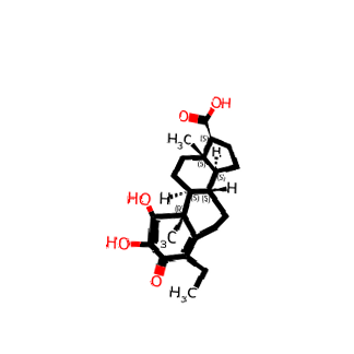 CCC1=C2CC[C@@H]3[C@H](CC[C@]4(C)[C@@H](C(=O)O)CC[C@@H]34)[C@@]2(C)C(O)=C(O)C1=O